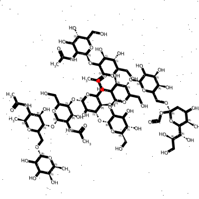 CC(=O)NC1C(O)[C@H](O)C(CO)O[C@H]1OC1[C@@H](OCC2O[C@@H](O[C@@H]3C(CO)O[C@@H](O[C@@H]4C(CO[C@@H]5O[C@@H](C)[C@@H](O)C(O)C5O)O[C@@H](C)C(NC(C)=O)[C@H]4O)C(NC(C)=O)[C@H]3O)C(O)[C@@H](O[C@H]3O[C@H](CO)[C@@H](O)C(O)C3O[C@@H]3OC(CO)[C@@H](O[C@@H]4OC(CO[C@]5(OC=O)CC(O)[C@@H](C)C([C@H](O)[C@H](O)CO)O5)[C@H](O)[C@H](O)C4O)[C@H](O)C3NC(C)=O)[C@@H]2O)OC(CO)[C@@H](O)[C@@H]1O